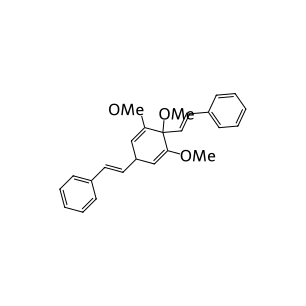 COC1=CC(/C=C/c2ccccc2)C=C(OC)C1(/C=C/c1ccccc1)OC